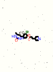 CC1=C(C(=O)O)C(c2ccc(OC(=O)C=Cc3ccncc3)c(Br)c2)NC(=O)N1